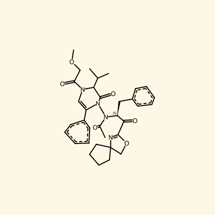 COCC(=O)N1C=C(c2ccccc2)N(N(C(C)=O)[C@@H](Cc2ccccc2)C(=O)C2=NC3(CCCC3)CO2)C(=O)C1C(C)C